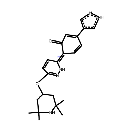 CC1(C)CC(OC2=NN/C(=C3\C=CC(c4cn[nH]c4)=CC3=O)C=C2)CC(C)(C)N1